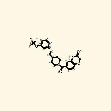 O=C1COc2ccc(C(=O)N3CCC(COc4cccc(OC(F)(F)F)c4)CC3)cc2N1